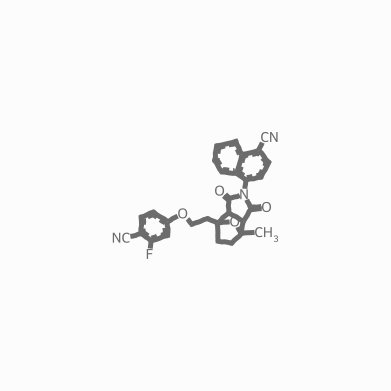 CC12CCC(CCOc3ccc(C#N)c(F)c3)(O1)C1C(=O)N(c3ccc(C#N)c4ccccc34)C(=O)C12